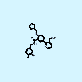 Cc1ccc(CNC(=O)c2cc(-c3ncccc3CO)ccc2OCC2CCCC2)cc1F